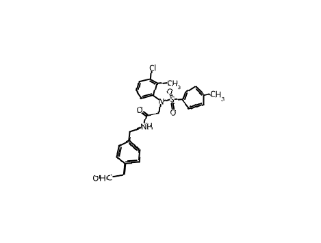 Cc1ccc(S(=O)(=O)N(CC(=O)NCc2ccc(CC=O)cc2)c2cccc(Cl)c2C)cc1